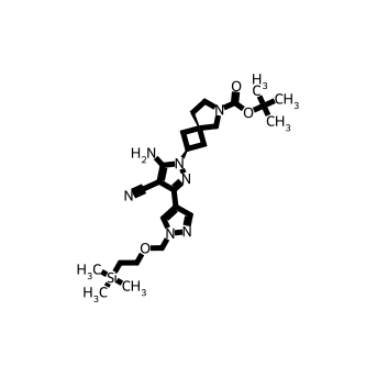 CC(C)(C)OC(=O)N1CC[C@]2(C1)C[C@H](n1nc(-c3cnn(COCC[Si](C)(C)C)c3)c(C#N)c1N)C2